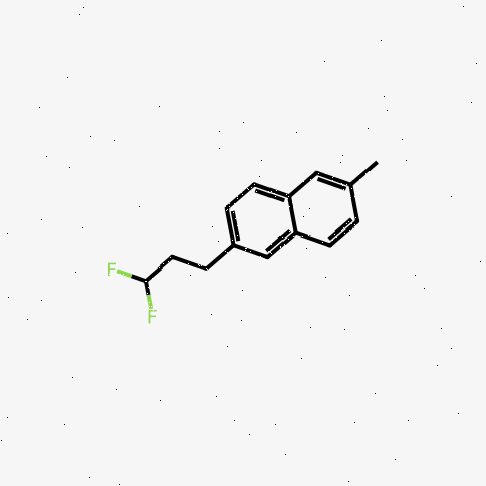 Cc1ccc2cc(CCC(F)F)ccc2c1